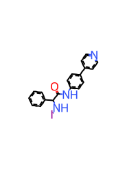 O=C(Nc1ccc(-c2ccncc2)cc1)C(NI)c1ccccc1